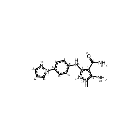 NC(=O)c1c(Nc2ccc(-n3cccn3)cc2)n[nH]c1N